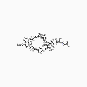 CCn1c(-c2cccnc2[C@H](C)OC)c2c3cc(ccc31)-c1cccc(c1)C[C@H](NC(=O)C(C(C)C)N(C)C(=O)C1(F)CCN(C(=O)/C=C/CN(C)C)CC1)C(=O)N1CCC[C@H](N1)C(=O)OCC(C)(C)C2